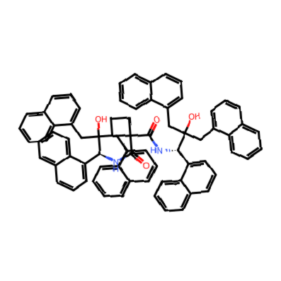 O=C(N[C@@H](c1cccc2ccccc12)C(O)(Cc1cccc2ccccc12)Cc1cccc2ccccc12)C1(C(=O)N[C@@H](c2cccc3ccccc23)C(O)(Cc2cccc3ccccc23)Cc2cccc3ccccc23)CCC1